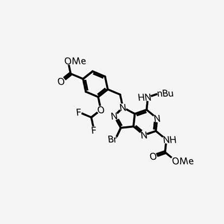 CCCCNc1nc(NC(=O)OC)nc2c(Br)nn(Cc3ccc(C(=O)OC)cc3OC(F)F)c12